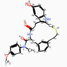 COc1ccc(N(C)C(=O)[C@@H]2Cc3cccc(c3)CCSCc3[nH]c4ccc(O)cc4c3CC(=O)N2)cc1